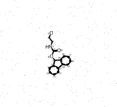 O=C(NCCCl)OC1c2ccccc2-c2ccccc21